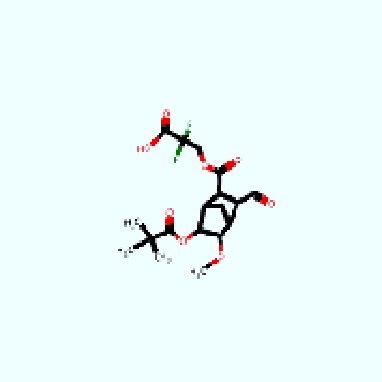 COC1C2CC(C1OC(=O)C(C)(C)C)C(C(=O)OCC(F)(F)C(=O)O)C2C=O